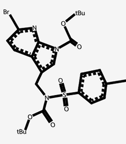 Cc1ccc(S(=O)(=O)N(Cc2cn(C(=O)OC(C)(C)C)c3nc(Br)ccc23)C(=O)OC(C)(C)C)cc1